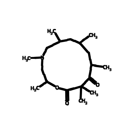 CC1CC(C)CN(C)CC(C)OC(=O)C(C)(C)C(=O)C(C)C1